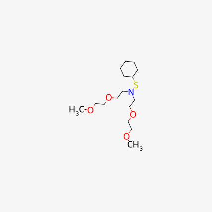 COCCOCCN(CCOCCOC)SC1CCCCC1